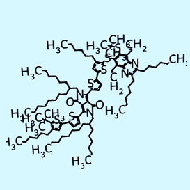 C=Cc1c(Sc2sc(-c3ccc(C4=C5C(=O)N(CC(CCCCCC)CCCCCCCC)C(c6ccc(-c7cc(CCCCCC)c(C(C)(C)C)s7)s6)=C5C(=O)N4CC(CCCCCC)CCCCCCCC)s3)cc2CCCCCC)c(SC(C)(C)C)c(C=C)c2nc(CCCCCC)c(CCCCCC)nc12